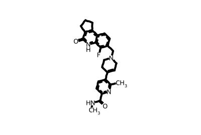 CNC(=O)c1ccc(C2=CCN(Cc3ccc4c5c(c(=O)[nH]c4c3F)CCC5)CC2)c(C)n1